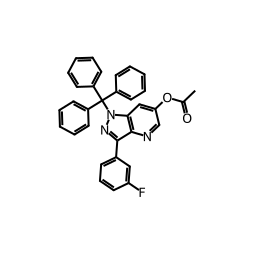 CC(=O)Oc1cnc2c(-c3cccc(F)c3)nn(C(c3ccccc3)(c3ccccc3)c3ccccc3)c2c1